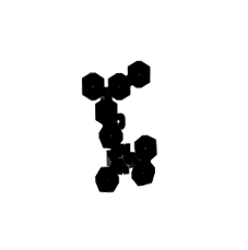 c1ccc(-c2ccc(N(c3ccccc3)c3ccc4c(c3)oc3cc(-c5nc(-c6ccccc6)nc(-n6c7ccccc7c7ccccc76)n5)ccc34)cc2)cc1